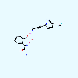 CNC(=O)/C(=N/OC)c1ccccc1CO/N=C(\C)C#Cc1ccc(OC(F)(F)F)cn1